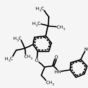 CCC(Oc1ccc(C(C)(C)CC)cc1C(C)(C)CC)C(=O)Nc1cccc(N)c1